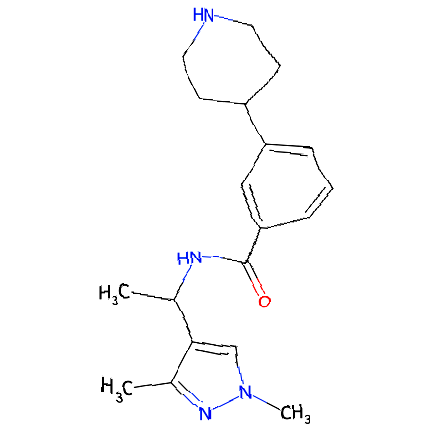 Cc1nn(C)cc1C(C)NC(=O)c1cccc(C2CCNCC2)c1